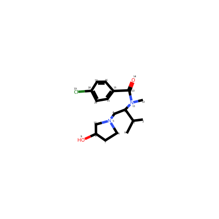 CC(C)C(CN1CCC(O)C1)N(C)C(=O)c1ccc(Cl)cc1